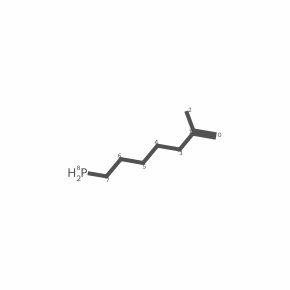 C=C(C)CCCCCP